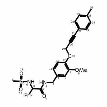 COc1cc(CNC(=O)C(NS(C)(=O)=O)C(C)C)ccc1OCC#Cc1ccc(C)cc1